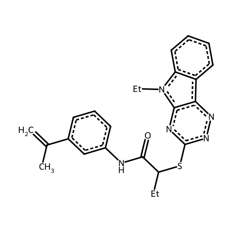 C=C(C)c1cccc(NC(=O)C(CC)Sc2nnc3c4ccccc4n(CC)c3n2)c1